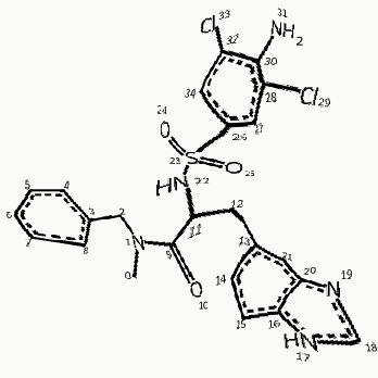 CN(Cc1ccccc1)C(=O)C(Cc1ccc2[nH]cnc2c1)NS(=O)(=O)c1cc(Cl)c(N)c(Cl)c1